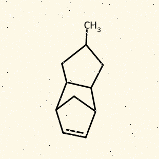 CC1CC2C3C=CC(C3)C2C1